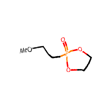 COCCP1(=O)OCCO1